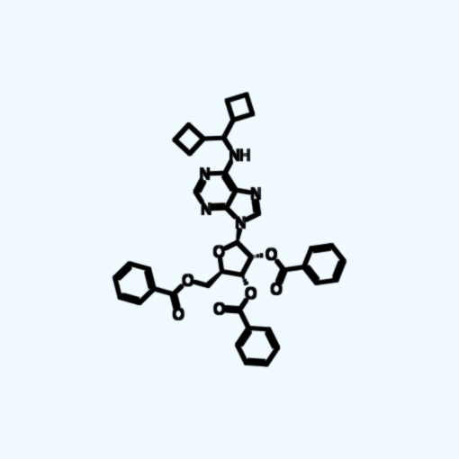 O=C(OC[C@H]1O[C@@H](n2cnc3c(NC(C4CCC4)C4CCC4)ncnc32)[C@H](OC(=O)c2ccccc2)[C@@H]1OC(=O)c1ccccc1)c1ccccc1